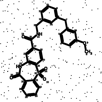 COc1cccc(Cc2cccc(CNC(=O)c3ccc4c(c3)NC(=O)c3ccccc3S4(=O)=O)c2)c1